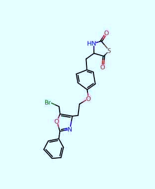 O=C1NC(Cc2ccc(OCCc3nc(-c4ccccc4)oc3CBr)cc2)C(=O)S1